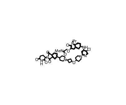 CNC(=O)COc1cc2cc(Nc3cc(N4CCC(OC5CC(N6CCC(c7ccc8c(c7)C(=O)N(C7CCC(=O)NC7=O)C8=O)CC6)C5)CC4)ncc3Cl)ccc2n(C(C)C)c1=O